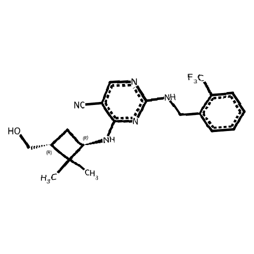 CC1(C)[C@H](CO)C[C@H]1Nc1nc(NCc2ccccc2C(F)(F)F)ncc1C#N